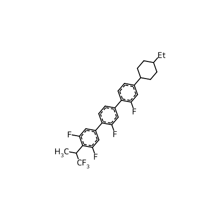 CCC1CCC(c2ccc(-c3ccc(-c4cc(F)c(C(C)C(F)(F)F)c(F)c4)c(F)c3)c(F)c2)CC1